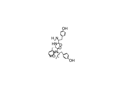 N[C@@H](Cc1ccc(O)cc1)C(=O)N[C@@H](Cc1ccccc1)C(=O)N[C@@H](Cc1ccc(O)cc1)C(=O)O